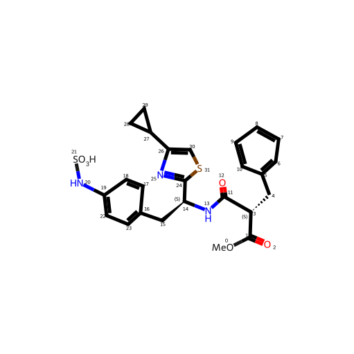 COC(=O)[C@@H](Cc1ccccc1)C(=O)N[C@@H](Cc1ccc(NS(=O)(=O)O)cc1)c1nc(C2CC2)cs1